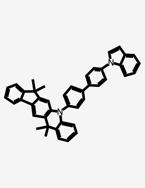 CC1(C)c2ccccc2-c2cc3c(cc21)N(c1ccc(-c2ccc(-n4ccc5ccccc54)cc2)cc1)c1ccccc1C3(C)C